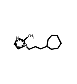 Cc1n[c]cn1CCCC1CCCCCC1